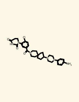 Nc1ccc(N2CCN(C3CCC4(CC3)CCN(C(=O)c3ccc(Cl)c(N5CCC(=O)NC5=O)c3)CC4)CC2)cc1